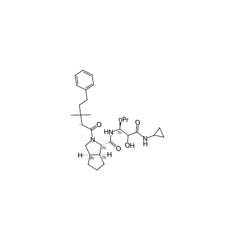 CCC[C@H](NC(=O)[C@@H]1[C@H]2CCC[C@H]2CN1C(=O)[CH]C(C)(C)CCc1ccccc1)C(O)C(=O)NC1CC1